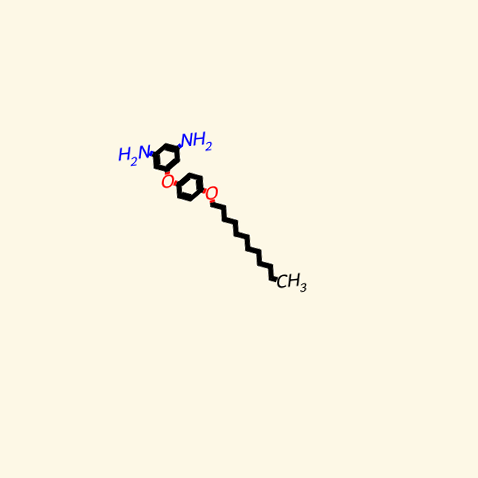 CCCCCCCCCCCCOc1ccc(Oc2cc(N)cc(N)c2)cc1